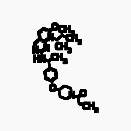 C=CC(=O)N1CCC(Oc2ccc([C@H](C)Nc3ncc4ccc(=O)n([C@@H](C)C(C)C)c4n3)cc2)CC1